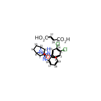 Clc1ccc(OC2CC3CCC(C2)N3c2nc3ccccc3[nH]2)cc1Cl.O=C(O)/C=C/C(=O)O